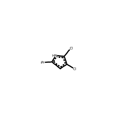 CC(C)c1cc(Cl)c(Cl)[nH]1